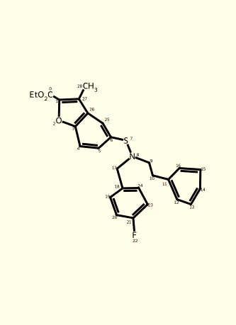 CCOC(=O)c1oc2ccc(SN(CCc3ccccc3)Cc3ccc(F)cc3)cc2c1C